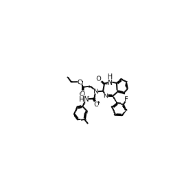 CCOC(=O)CN(C(=O)Nc1cccc(C)c1)C1N=C(c2ccccc2F)c2ccccc2NC1=O